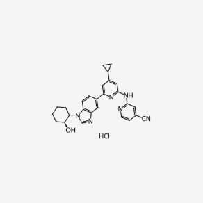 Cl.N#Cc1ccnc(Nc2cc(C3CC3)cc(-c3ccc4c(c3)ncn4[C@H]3CCCC[C@@H]3O)n2)c1